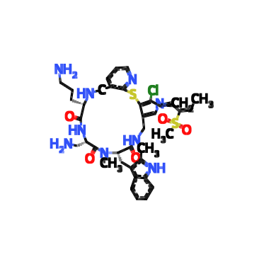 C=C/C(Cl)=C1/Sc2ncccc2CN[C@@H](CCCN)C(=O)N[C@@H](CN)C(=O)N(C)[C@@H](Cc2c(C)[nH]c3ccccc23)C(=O)NC/C1=C/N=C\C(=C/C)S(C)(=O)=O